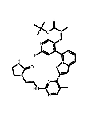 Cc1cnc(NCCN2CCNC2=O)nc1-c1cc2cccc(-c3cc(F)ncc3CN(C)C(=O)OC(C)(C)C)c2s1